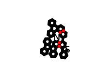 c1ccc(N(c2ccc3c(c2)C2(c4ccccc4-c4ccccc42)c2ccccc2-3)c2cccc3c4ccccc4c4ccccc4c23)c(-c2ccc3c(c2)sc2ccccc23)c1